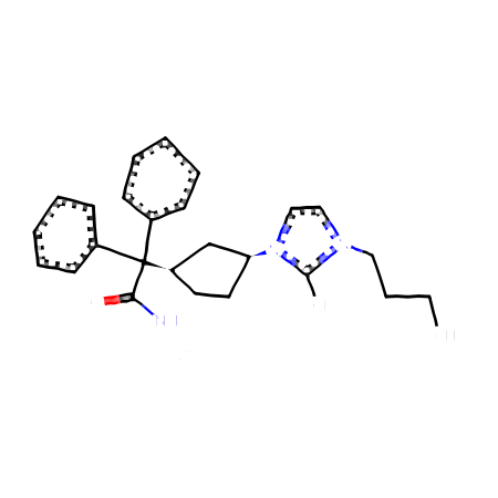 CCCC[n+]1ccn([C@H]2CC[C@@H](C(C(N)=O)(c3ccccc3)c3ccccc3)C2)c1C.[Br-]